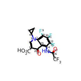 O=C(O)c1cn(C2CC2)c2c(F)c(F)c(F)c(NC(=O)C(F)(F)F)c2c1=O